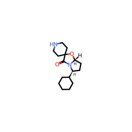 O=C1N2[C@@H](CC[C@H]2C2CCCCC2)OC12CCNCC2